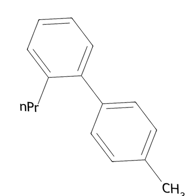 CCCc1ccccc1-c1ccc(C)cc1